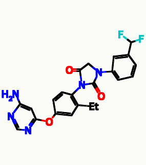 CCc1cc(Oc2cc(N)ncn2)ccc1N1C(=O)CN(c2cccc(C(F)F)c2)C1=O